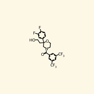 O=C(c1cc(C(F)(F)F)cc(C(F)(F)F)c1)N1CCOC(CCO)(c2ccc(F)c(F)c2)C1